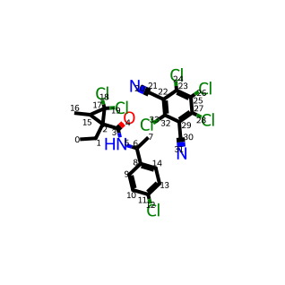 CCC1(C(=O)NC(C)c2ccc(Cl)cc2)C(C)C1(Cl)Cl.N#Cc1c(Cl)c(Cl)c(Cl)c(C#N)c1Cl